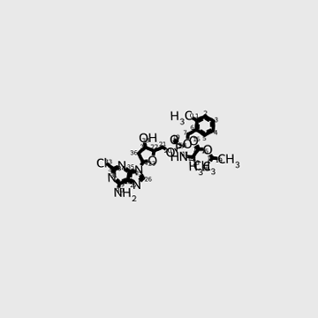 Cc1ccccc1CO[P@@](=O)(N[C@@H](C)C(=O)OC(C)C)OCC1OC(n2cnc3c(N)nc(Cl)nc32)CC1O